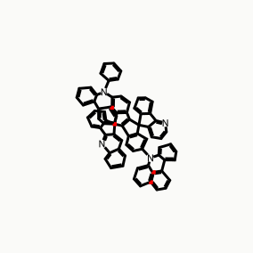 c1ccc(-c2ccccc2N(c2ccccc2)c2ccc3c(c2)C2(C4=C3C3(c5cc(N(c6ccccc6)c6ccccc6-c6ccccc6)ccc54)c4ccccc4-c4nc5ccccc5cc43)c3ccccc3-c3ncccc32)cc1